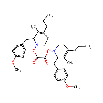 CCCC1=C(C)C(Cc2ccc(OC)cc2)N(OC(=O)C(=O)ON2CCC(CCC)=C(C)C2Cc2ccc(OC)cc2)CC1